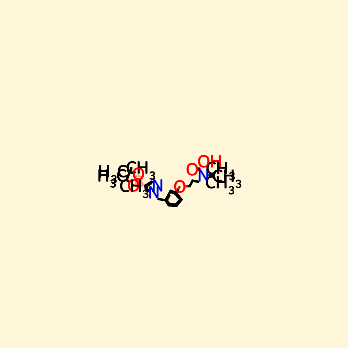 CC(C)(C)N(CCCOc1cccc(Cn2cc(B3OC(C)(C)C(C)(C)O3)cn2)c1)C(=O)O